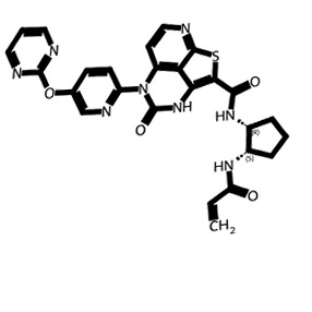 C=CC(=O)N[C@H]1CCC[C@H]1NC(=O)c1sc2nccc3c2c1NC(=O)N3c1ccc(Oc2ncccn2)cn1